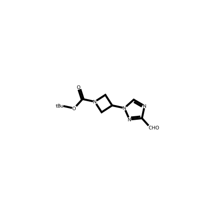 CC(C)(C)OC(=O)N1CC(n2cnc(C=O)n2)C1